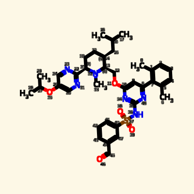 Cc1cccc(C)c1-c1cc(OC[C@@H]2[C@H](CC(C)C)CC[C@H](c3ncc(OC(C)C)cn3)N2C)nc(NS(=O)(=O)c2cccc(C=O)c2)n1